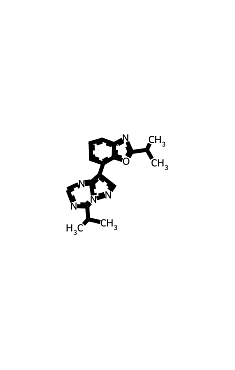 CC(C)c1nc2cccc(-c3cnn4c(C(C)C)ncnc34)c2o1